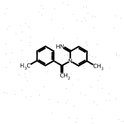 C=C(c1cccc(C)c1)n1cc(C)ccc1=N